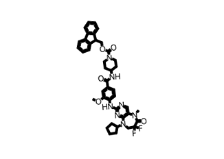 COc1cc(C(=O)NC2CCN(C(=O)OCC3c4ccccc4-c4ccccc43)CC2)ccc1Nc1ncc2c(n1)N(C1CCCC1)CC(F)(F)C(=O)N2C